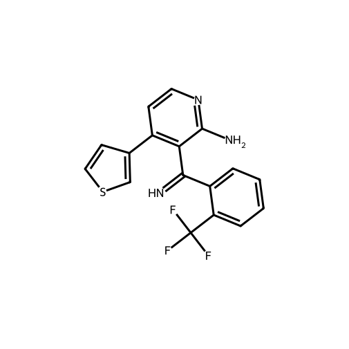 N=C(c1ccccc1C(F)(F)F)c1c(-c2ccsc2)ccnc1N